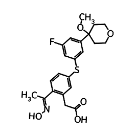 COC1(c2cc(F)cc(Sc3ccc(/C(C)=N/O)c(CC(=O)O)c3)c2)CCOCC1